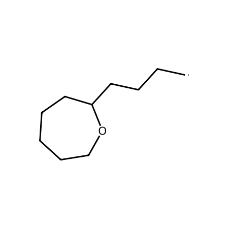 [CH2]CCCC1CCCCCO1